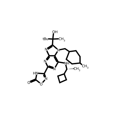 CC1CCC(Cn2c(C(C)(O)C(C)(C)C)nc3nc(-c4noc(=O)[nH]4)nc(N[C@H](C)C4CCC4)c32)CC1